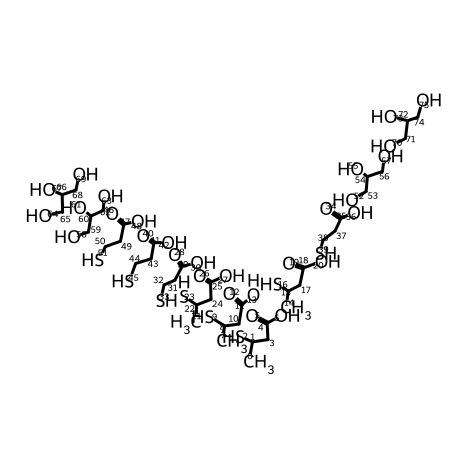 CC(S)CC(=O)O.CC(S)CC(=O)O.CC(S)CC(=O)O.CC(S)CC(=O)O.O=C(O)CCS.O=C(O)CCS.O=C(O)CCS.O=C(O)CCS.OCC(O)CO.OCC(O)CO.OCC(O)CO.OCC(O)CO